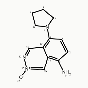 Nc1ccc(N2CCCC2)c2cn[n+]([O-])cc12